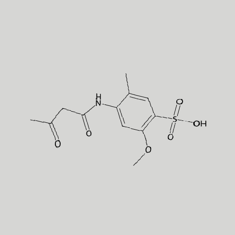 COc1cc(NC(=O)CC(C)=O)c(C)cc1S(=O)(=O)O